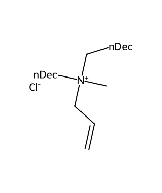 C=CC[N+](C)(CCCCCCCCCC)CCCCCCCCCCC.[Cl-]